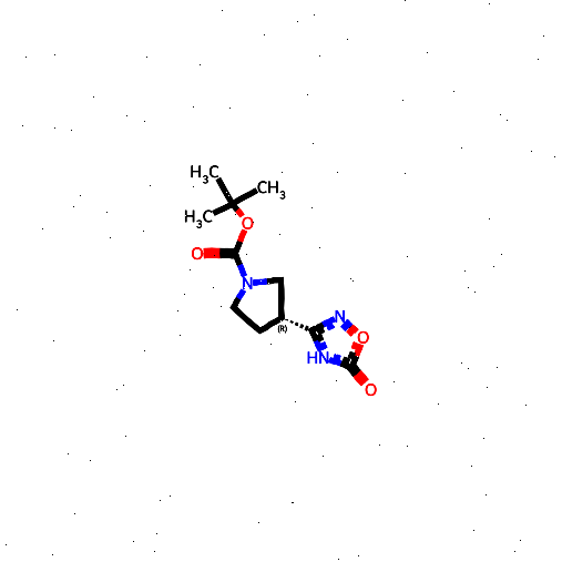 CC(C)(C)OC(=O)N1CC[C@@H](c2noc(=O)[nH]2)C1